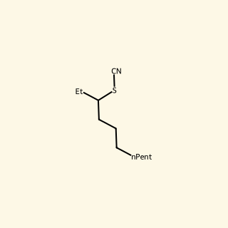 CCCCCCCCC(CC)SC#N